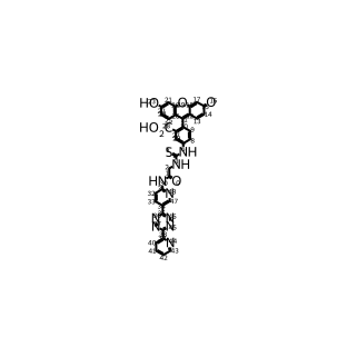 O=C(CNC(=S)Nc1ccc(-c2c3ccc(=O)cc-3oc3cc(O)ccc23)c(C(=O)O)c1)Nc1ccc(-c2nnc(-c3ccccn3)nn2)cn1